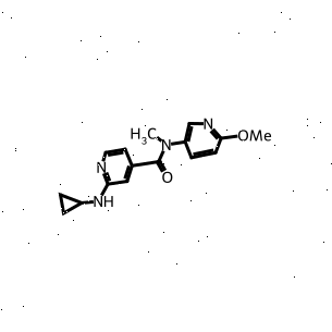 COc1ccc(N(C)C(=O)c2ccnc(NC3CC3)c2)cn1